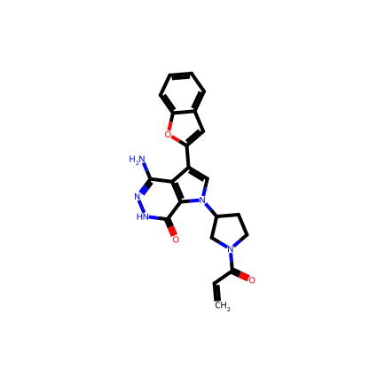 C=CC(=O)N1CCC(n2cc(-c3cc4ccccc4o3)c3c(N)n[nH]c(=O)c32)C1